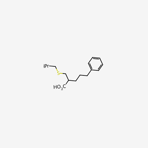 CC(C)CSCC(CCCc1ccccc1)C(=O)O